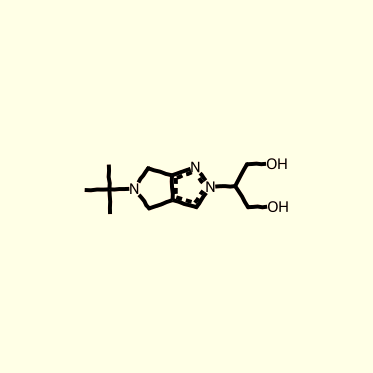 CC(C)(C)N1Cc2cn(C(CO)CO)nc2C1